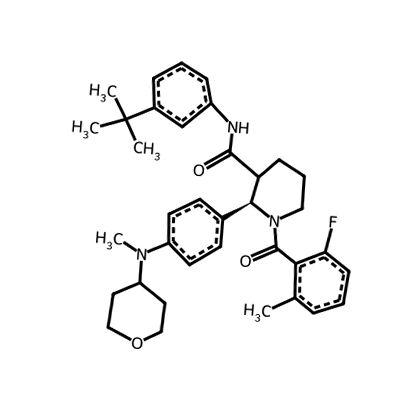 Cc1cccc(F)c1C(=O)N1CCCC(C(=O)Nc2cccc(C(C)(C)C)c2)[C@@H]1c1ccc(N(C)C2CCOCC2)cc1